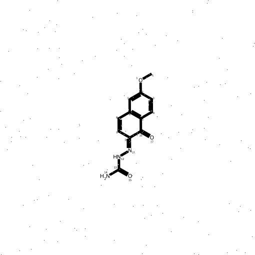 COc1ccc2c(c1)C=C/C(=N\NC(N)=O)C2=O